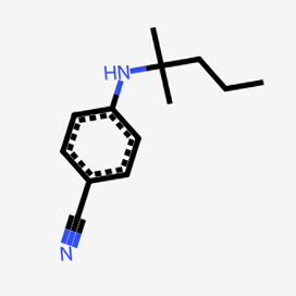 CCCC(C)(C)Nc1ccc(C#N)cc1